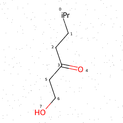 [CH2]C(C)CCC(=O)CCO